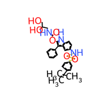 CC(C)(C)c1ccc(S(=O)(=O)Nc2ccc3[nH]c(OC(=O)NCC(O)CO)c(-c4ccccc4)c3c2)cc1